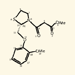 COC(=O)CC(=O)N1CCS[C@H]1COc1ccccc1OC